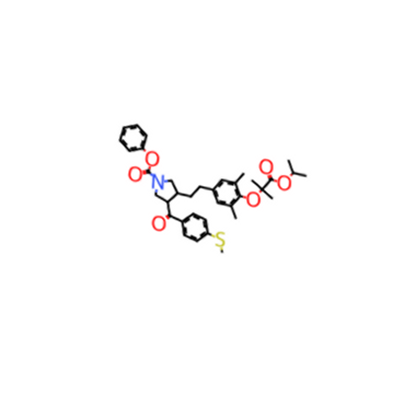 CSc1ccc(C(=O)C2CN(C(=O)Oc3ccccc3)CC2CCc2cc(C)c(OC(C)(C)C(=O)OC(C)C)c(C)c2)cc1